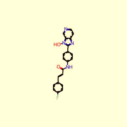 O=C(/C=C/c1ccc(F)cc1)Nc1ccc(-c2nc3ccncc3n2O)cc1